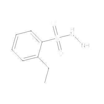 CCc1ccccc1S(=O)(=O)NN